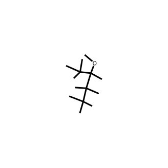 COC(C)(C(C)(C)C)C(C)(C)C(C)(C)C